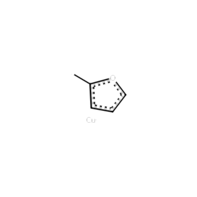 [CH2]c1ccco1.[Cu]